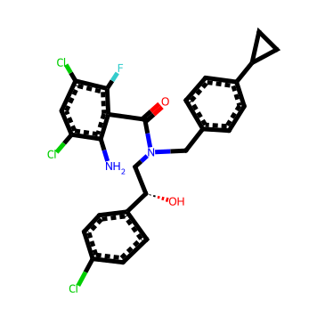 Nc1c(Cl)cc(Cl)c(F)c1C(=O)N(Cc1ccc(C2CC2)cc1)C[C@H](O)c1ccc(Cl)cc1